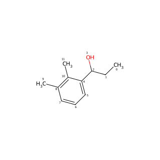 CCC(O)c1cccc(C)c1C